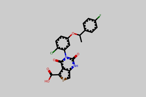 CC(Oc1ccc(Cl)c(-n2c(=O)[nH]c3csc(C(=O)O)c3c2=O)c1)c1ccc(F)cc1